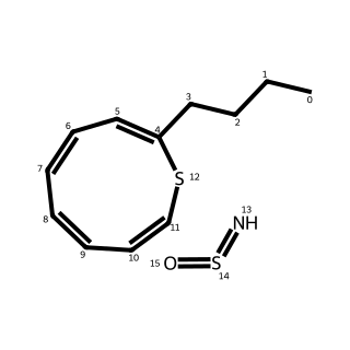 CCCCc1cccccccs1.N=S=O